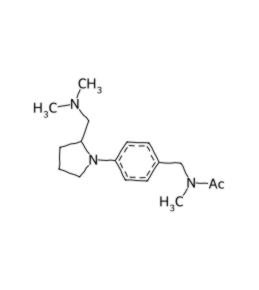 CC(=O)N(C)Cc1ccc(N2CCCC2CN(C)C)cc1